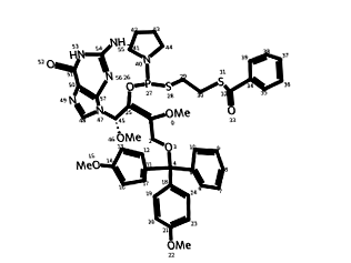 CO/C(COC(c1ccccc1)(c1ccc(OC)cc1)c1ccc(OC)cc1)=C(\OP(SCCSC(=O)c1ccccc1)N1CCCC1)[C@H](OC)n1cnc2c(=O)[nH]c(N)nc21